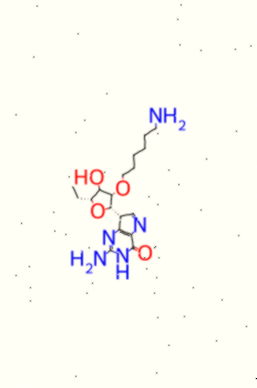 CC[C@H]1O[C@@H](C2C=Nc3c2nc(N)[nH]c3=O)[C@@H](OCCCCCCN)C1O